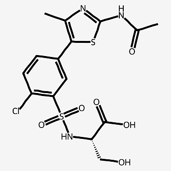 CC(=O)Nc1nc(C)c(-c2ccc(Cl)c(S(=O)(=O)N[C@@H](CO)C(=O)O)c2)s1